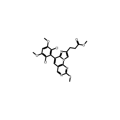 COC(=O)CCc1cn2c(n1)c(-c1c(Cl)c(OC)cc(OC)c1Cl)cc1cnc(SC)nc12